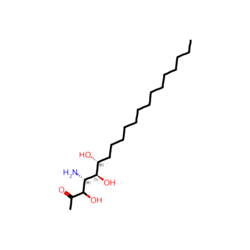 CCCCCCCCCCCCCC[C@@H](O)[C@@H](O)[C@@H](N)C(O)C(C)=O